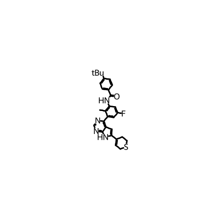 Cc1c(NC(=O)c2ccc(C(C)(C)C)cc2)cc(F)cc1-c1ncnc2[nH]c(C3=CCSCC3)cc12